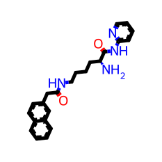 N[C@@H](CCCCNC(=O)Cc1ccc2ccccc2c1)C(=O)Nc1ccccn1